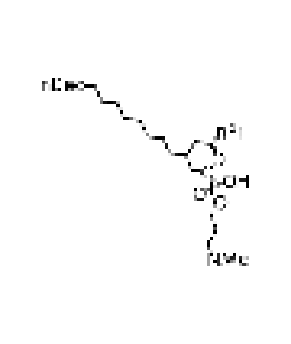 CCCCCCCCCCCCCCCCCCC(COP(=O)(O)OCCCNC)CC(=O)CCC